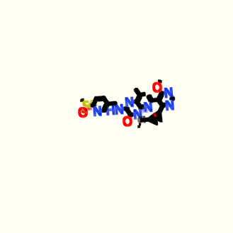 C=C(/N=C1\C(=C(C)C)N=C(NCc2ccc([S+](C)[O-])nc2)C(=O)N1[C@@H](C)C1CC1)c1c(OC)ncnc1C1CC1